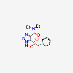 CCN(CC)C(=O)c1nn[nH]c1S(=O)(=O)Cc1ccccc1